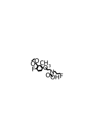 Cc1c(OCCN(CCCF)C(=O)O)ccc(F)c1C1OCCO1